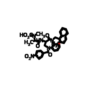 Cc1ccc2ccccc2c1CN1C(=O)C(NC(=O)C(C)N(C)C(=O)O)CN(C(=O)c2ccc([N+](=O)[O-])cc2)c2ccccc21